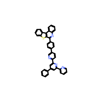 c1ccc(-c2cc(-c3ccccn3)nc(-c3ccc(-c4ccc(-c5nc6ccccc6c6c5sc5ccccc56)cc4)cn3)c2)cc1